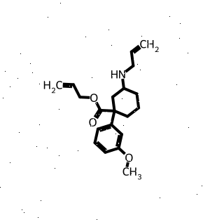 C=CCNC1CCCC(C(=O)OCC=C)(c2cccc(OC)c2)C1